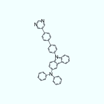 c1ccc(N(c2ccccc2)c2ccc3c(c2)c2ccccc2n3-c2ccc(-c3ccc(-c4cncnc4)cc3)cc2)cc1